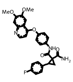 COc1cc2nccc(Oc3ccc(NC(=O)C4(C(N)=O)CC4c4ccc(F)cc4)cc3)c2cc1OC